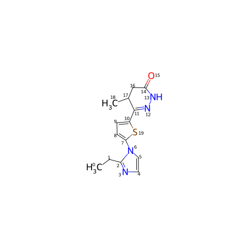 CCc1nccn1-c1ccc(C2=NNC(=O)CC2C)s1